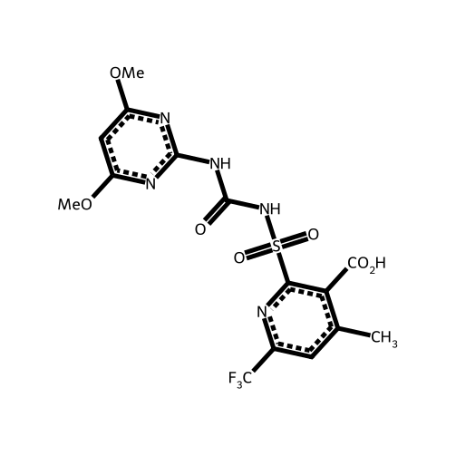 COc1cc(OC)nc(NC(=O)NS(=O)(=O)c2nc(C(F)(F)F)cc(C)c2C(=O)O)n1